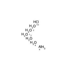 Cl.O.O.O.O.O.[AlH3]